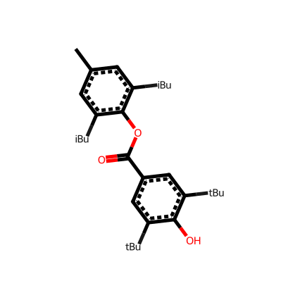 CCC(C)c1cc(C)cc(C(C)CC)c1OC(=O)c1cc(C(C)(C)C)c(O)c(C(C)(C)C)c1